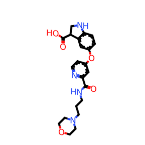 O=C(NCCCN1CCOCC1)c1cc(Oc2ccc3c(c2)C(C(=O)O)CN3)ccn1